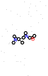 c1ccc(-c2cc3c(cc2-c2ccc4c(c2)c2ccccc2n4-c2ccc4oc5ccccc5c4c2)c2ccccc2n3-c2ccccc2)cc1